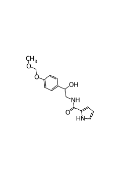 COCOc1ccc(C(O)CNC(=O)c2ccc[nH]2)cc1